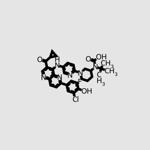 CC(C)(C)N(C(=O)O)C1CCCN(c2ccc(Nc3c(C(=O)C4CC4)cnc4ccc(-c5cc(F)c(O)c(Cl)c5)nc34)cn2)C1